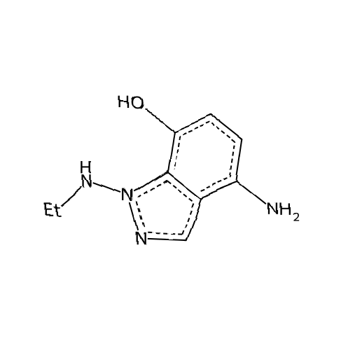 CCNn1ncc2c(N)ccc(O)c21